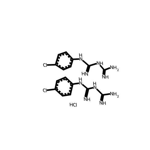 Cl.N=C(N)NC(=N)Nc1ccc(Cl)cc1.N=C(N)NC(=N)Nc1ccc(Cl)cc1